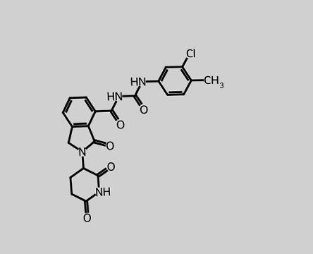 Cc1ccc(NC(=O)NC(=O)c2cccc3c2C(=O)N(C2CCC(=O)NC2=O)C3)cc1Cl